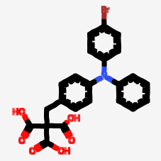 O=C(O)C(Cc1ccc(N(c2ccccc2)c2ccc(Br)cc2)cc1)(C(=O)O)C(=O)O